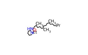 CCN1CCCCC1NC(=O)CC(C)CCCC(C)CCCC(C)CCCC(C)C